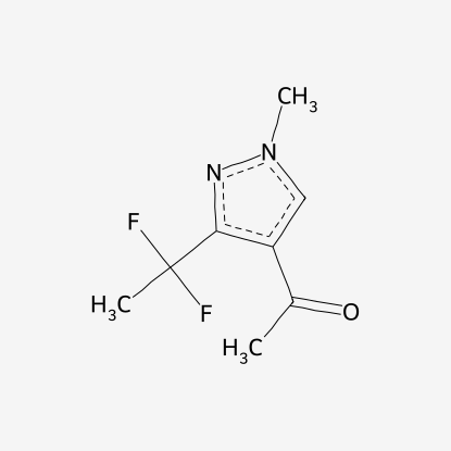 CC(=O)c1cn(C)nc1C(C)(F)F